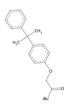 CCC(C)C(=O)COc1ccc(C(C)(C)c2ccccc2)cc1